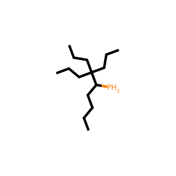 CCCCC(P)C(CCC)(CCC)CCC